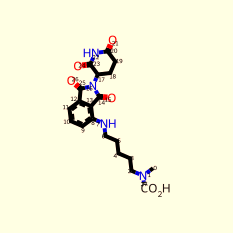 CN(CCCCCNc1cccc2c1C(=O)N(C1CCC(=O)NC1=O)C2=O)C(=O)O